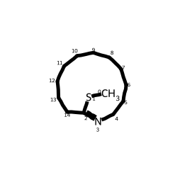 CS/C1=N\CCCCCCCCCCC1